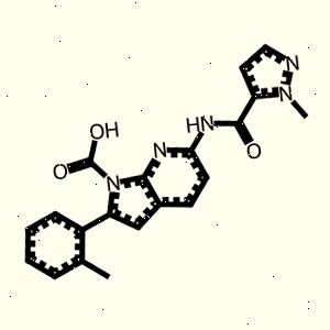 Cc1ccccc1-c1cc2ccc(NC(=O)c3ccnn3C)nc2n1C(=O)O